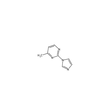 Cc1ccnc(-n2ccnc2)n1